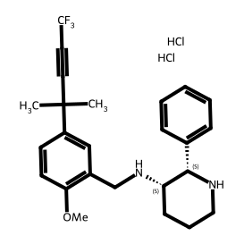 COc1ccc(C(C)(C)C#CC(F)(F)F)cc1CN[C@H]1CCCN[C@H]1c1ccccc1.Cl.Cl